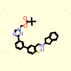 CC(C)(C)C(=O)OCn1cnc(-c2cccc(-c3ccc(F)c(CNC4Cc5ccccc5C4)c3)c2)n1